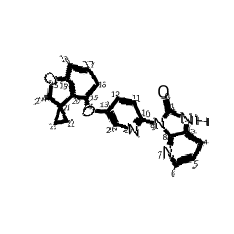 O=c1[nH]c2cccnc2n1-c1ccc(Oc2cccc3c2C2(CC2)CO3)cn1